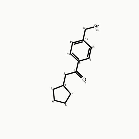 O=C(CC1CCCC1)c1ccc(CBr)cc1